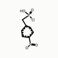 O=[N+]([O-])c1ccc(CP(=O)(O)Cl)cc1